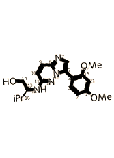 COc1ccc(-c2cnc3ccc(N[C@H](CO)C(C)C)nn23)c(OC)c1